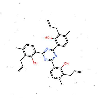 C=CCc1c(C)ccc(-c2nc(-c3ccc(C)c(CC=C)c3O)nc(-c3ccc(C)c(CC=C)c3O)n2)c1O